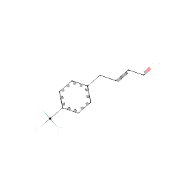 O=C/C=C/Cc1ccc(C(F)(F)F)cc1